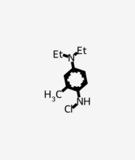 CCN(CC)c1ccc(NCl)c(C)c1